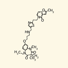 CCN1C(=O)C(C)(C)C(=O)N(C)c2cc(OCCCNCc3cnc(CCn4ccc5oc(C)cc5c4=O)s3)ccc21